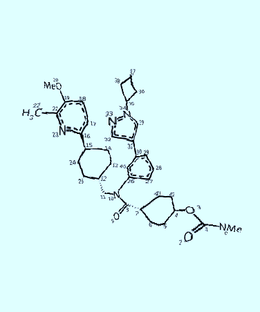 CNC(=O)O[C@H]1CC[C@H](C(=O)N(C[C@H]2CC[C@H](c3ccc(OC)c(C)n3)CC2)c2cccc(-c3cnn(C4CCC4)c3)c2)CC1